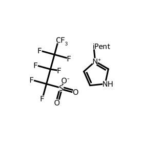 CCCC(C)[n+]1cc[nH]c1.O=S(=O)([O-])C(F)(F)C(F)(F)C(F)(F)C(F)(F)F